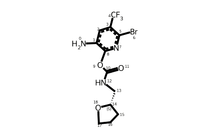 Nc1cc(C(F)(F)F)c(Br)nc1OC(=O)NC[C@@H]1CCCO1